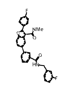 CNC(=O)c1c(-c2ccc(F)cc2)oc2ccc(-c3cccc(C(=O)NCc4cccc(F)c4)c3)cc12